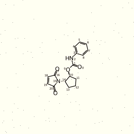 O=C(Nc1ccccc1)O[C@H]1CCC[C@@H]1N1C(=O)C=CC1=O